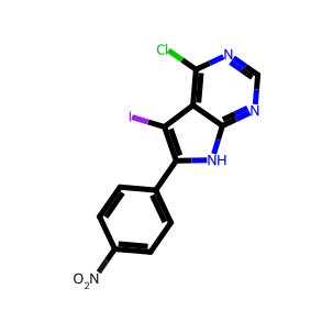 O=[N+]([O-])c1ccc(-c2[nH]c3ncnc(Cl)c3c2I)cc1